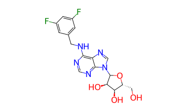 OC[C@H]1OC(n2cnc3c(NCc4cc(F)cc(F)c4)ncnc32)[C@H](O)[C@@H]1O